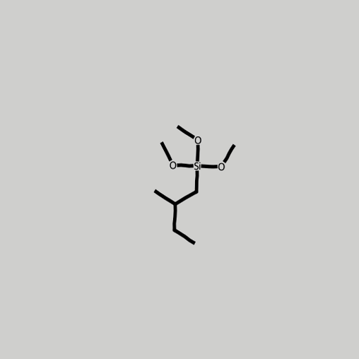 CCC(C)C[Si](OC)(OC)OC